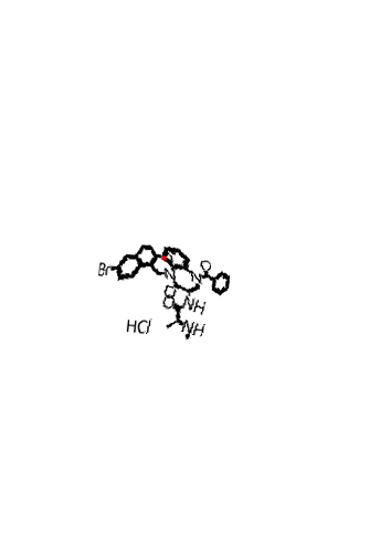 CN[C@@H](C)C(=O)N[C@H]1CN(C(=O)c2ccccc2)c2ccccc2N(Cc2c(OC)ccc3cc(Br)ccc23)C1=O.Cl